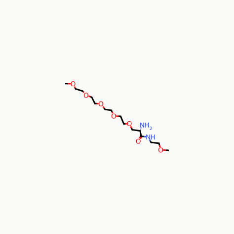 COCCNC(=O)[C@@H](N)COCCOCCOCCOCCOC